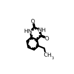 CCc1cccc2[nH]c(=O)[nH]c(=O)c12